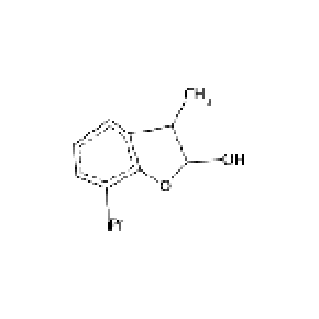 CC(C)c1cccc2c1OC(O)C2C